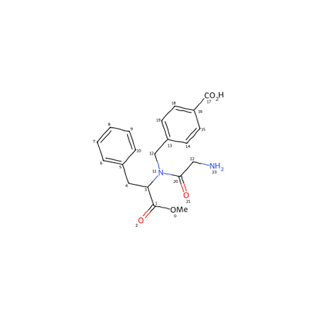 COC(=O)C(Cc1ccccc1)N(Cc1ccc(C(=O)O)cc1)C(=O)CN